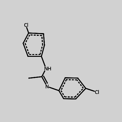 CC(=Nc1ccc(Cl)cc1)Nc1ccc(Cl)cc1